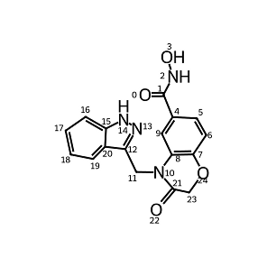 O=C(NO)c1ccc2c(c1)N(Cc1n[nH]c3ccccc13)C(=O)CO2